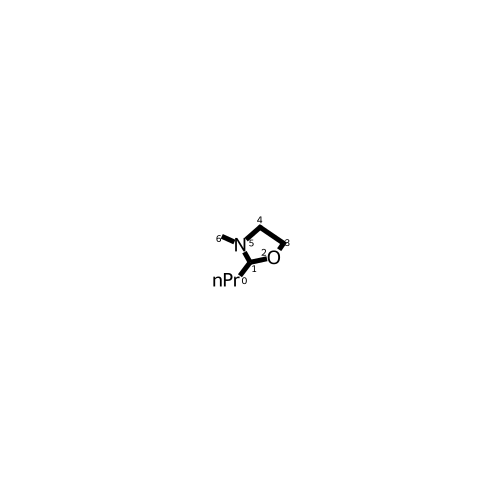 CCCC1OCCN1C